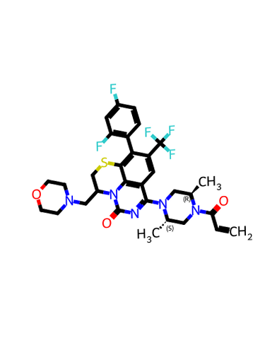 C=CC(=O)N1C[C@H](C)N(c2nc(=O)n3c4c(c(-c5ccc(F)cc5F)c(C(F)(F)F)cc24)SCC3CN2CCOCC2)C[C@H]1C